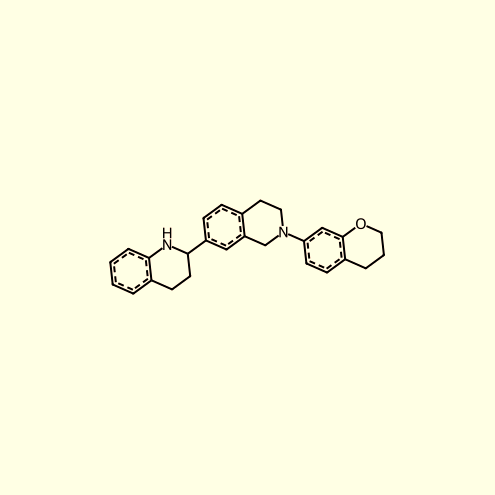 c1ccc2c(c1)CCC(c1ccc3c(c1)CN(c1ccc4c(c1)OCCC4)CC3)N2